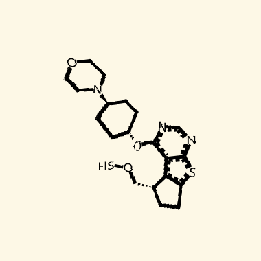 SOC[C@H]1CCc2sc3ncnc(O[C@H]4CC[C@H](N5CCOCC5)CC4)c3c21